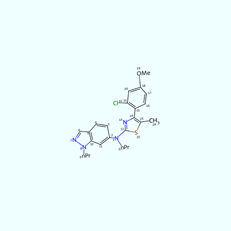 CCCN(c1ccc2cnn(CCC)c2c1)c1nc(-c2ccc(OC)cc2Cl)c(C)s1